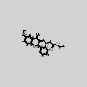 CCOC(=O)CNC=C1C(=O)c2cc(SC)ccc2OC1c1ccccc1